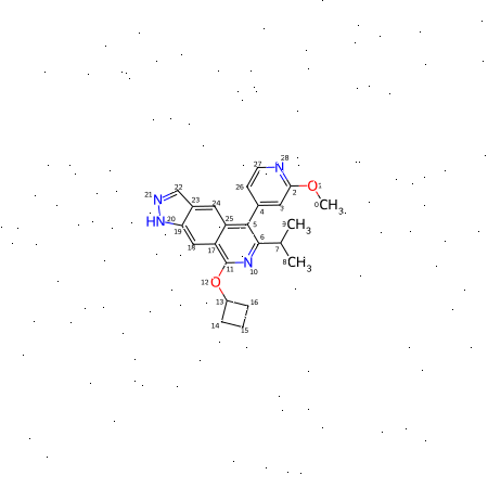 COc1cc(-c2c(C(C)C)nc(OC3CCC3)c3cc4[nH]ncc4cc23)ccn1